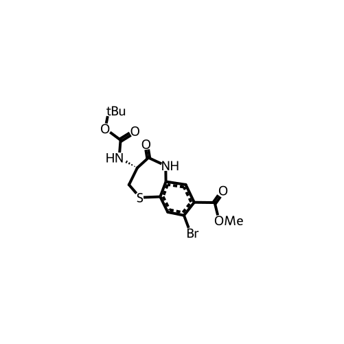 COC(=O)c1cc2c(cc1Br)SC[C@H](NC(=O)OC(C)(C)C)C(=O)N2